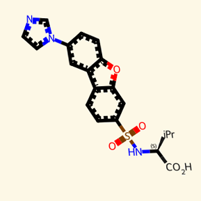 CC(C)[C@H](NS(=O)(=O)c1ccc2c(c1)oc1ccc(-n3ccnc3)cc12)C(=O)O